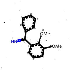 COc1cccc(C(=N)c2ccccc2)c1OC